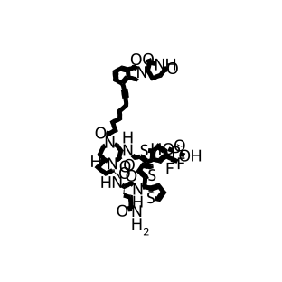 NC(=O)CC[C@H](NC(=O)[C@@H]1CC[C@@H]2CCN(C(=O)CCCCCC#Cc3cccc4c3CN(C3CCC(=O)NC3=O)C4=O)C[C@H](NC(=O)c3cc4cc(C(F)(F)P(=O)(O)O)ccc4s3)C(=O)N21)C(=O)NC(c1cccs1)c1cccs1